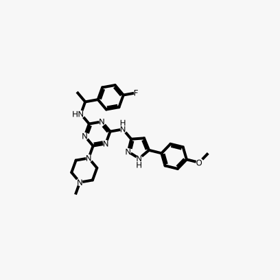 COc1ccc(-c2cc(Nc3nc(NC(C)c4ccc(F)cc4)nc(N4CCN(C)CC4)n3)n[nH]2)cc1